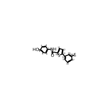 O=C(Nc1ccc(O)cc1)c1ccc(-c2cccc(F)c2)s1